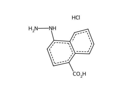 Cl.NNc1ccc(C(=O)O)c2ccccc12